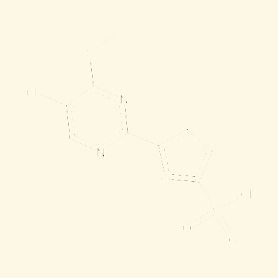 CSc1nc(-c2ccc(S(=O)(=O)Cl)o2)ncc1Cl